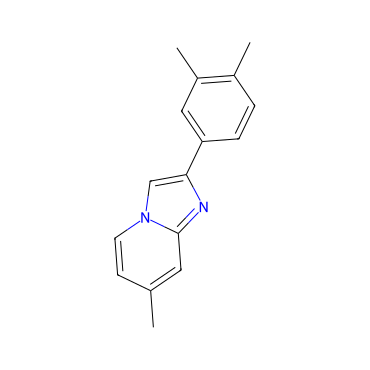 Cc1ccn2cc(-c3ccc(C)c(C)c3)nc2c1